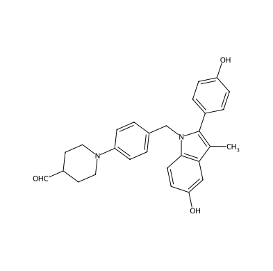 Cc1c(-c2ccc(O)cc2)n(Cc2ccc(N3CCC(C=O)CC3)cc2)c2ccc(O)cc12